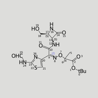 CC(C)(C)OC(=O)C(C)(C)O/N=C(\C(=O)N[C@@H]1C(=O)N[C@@H]1CO)c1csc(NC=O)n1